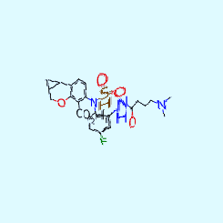 CN(C)CCCC(=O)Nc1cc(F)ccc1N(c1ccc2c(c1C(=O)O)OCC1CC21)[SH](=O)=O